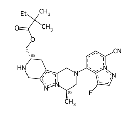 CCC(C)(C)C(=O)OC[C@@H]1Cc2c(nn3c2CN(c2ccc(C#N)n4ncc(F)c24)C[C@H]3C)CN1